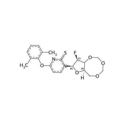 Cc1cccc(C)c1Oc1ccn([C@@H]2O[C@@H]3COCOCOC3[C@@H]2F)c(=S)n1